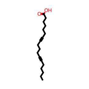 CCCCCC#CCCCC#CCCCCCC(=O)O